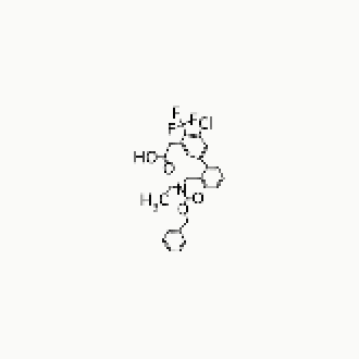 CCN(Cc1ccccc1-c1cc(Cl)c(C(F)(F)F)c(CC(=O)O)c1)C(=O)OCc1ccccc1